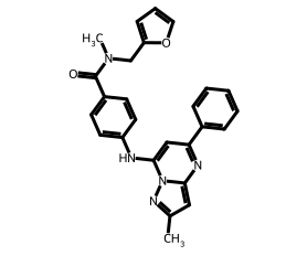 Cc1cc2nc(-c3ccccc3)cc(Nc3ccc(C(=O)N(C)Cc4ccco4)cc3)n2n1